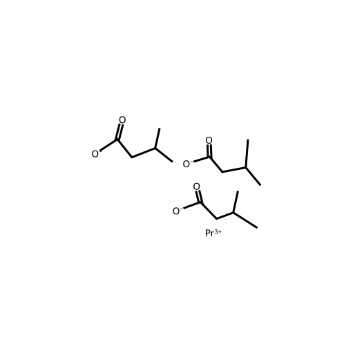 CC(C)CC(=O)[O-].CC(C)CC(=O)[O-].CC(C)CC(=O)[O-].[Pr+3]